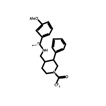 COc1cccc([C@@H](C)NCC2CCN(C(=O)C(F)(F)F)CC2c2ccccc2)c1